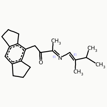 C/C(=C\N=C(/C)C(=O)Cc1c2c(cc3c1CCC3)CCC2)C(C)C